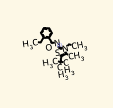 CCc1ccccc1C(=O)/N=c1\sc(C(C)(C)C)c(C)n1CC